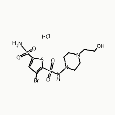 Cl.NS(=O)(=O)c1cc(Br)c(S(=O)(=O)NN2CCN(CCO)CC2)s1